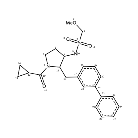 COCS(=O)(=O)NC1CCN(C(=O)C2CC2)C1Cc1cccc(-c2ccccc2)c1